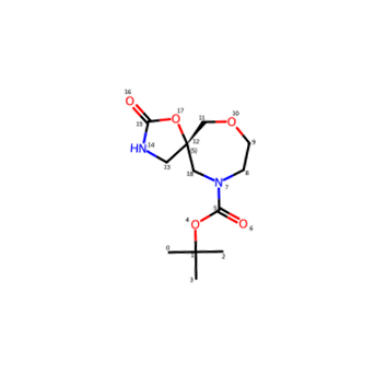 CC(C)(C)OC(=O)N1CCOC[C@]2(CNC(=O)O2)C1